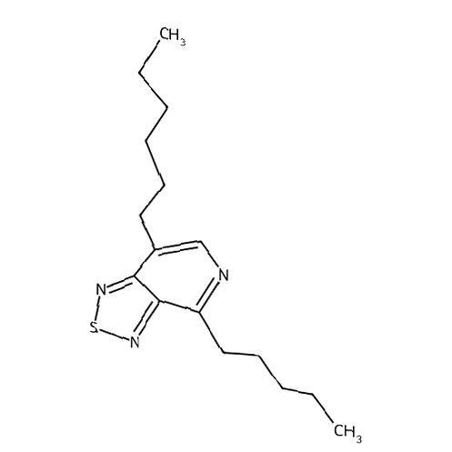 CCCCCCc1cnc(CCCCC)c2nsnc12